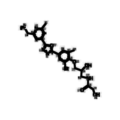 CCc1cc(-c2nnc(-c3cc(C)nc(CC(C)C)c3)o2)cc(C)c1OCC(O)CNC(=O)CO